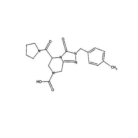 Cc1ccc(Cn2nc3n(c2=O)C(C(=O)N2CCCC2)CN(C(=O)O)C3)cc1